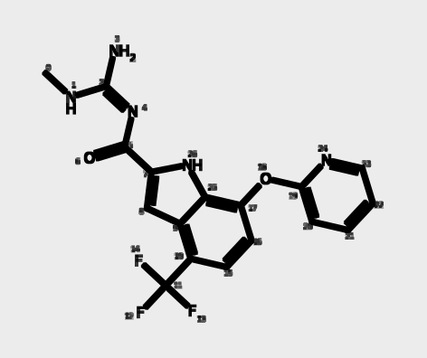 CNC(N)=NC(=O)c1cc2c(C(F)(F)F)ccc(Oc3ccccn3)c2[nH]1